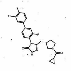 Cc1ccc(-c2ccc(-n3c(C[C@@H]4CCN(C(=O)C5CC5)C4)n[nH]c3=O)c(F)c2)cc1Cl